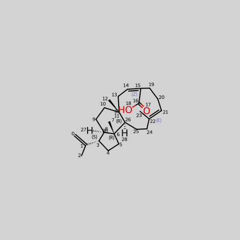 C=C(C)[C@H]1CC[C@]2(C)[C@@H]1CC[C@]1(C)C/C=C(\C(=O)O)CC/C=C(\C)CC[C@H]12